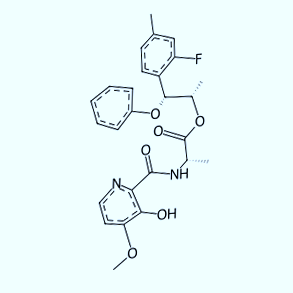 COc1ccnc(C(=O)N[C@@H](C)C(=O)O[C@@H](C)[C@H](Oc2ccccc2)c2ccc(C)cc2F)c1O